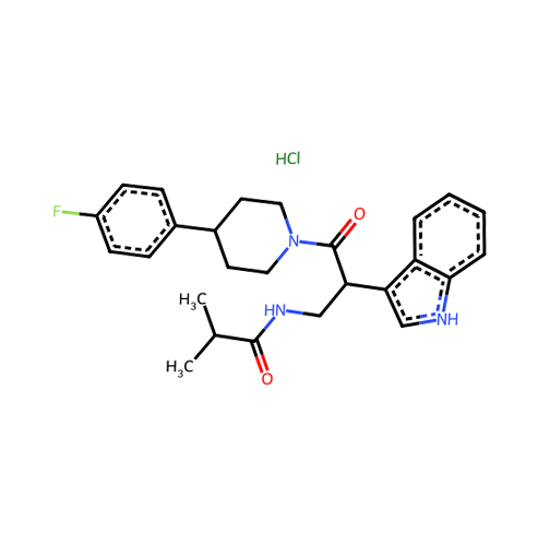 CC(C)C(=O)NCC(C(=O)N1CCC(c2ccc(F)cc2)CC1)c1c[nH]c2ccccc12.Cl